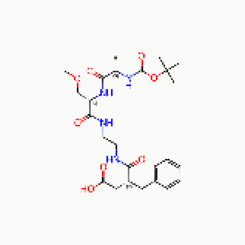 COC[C@H](NC(=O)[C@H](C)NC(=O)OC(C)(C)C)C(=O)NCCNC(=O)[C@@H](CC(=O)O)Cc1ccccc1